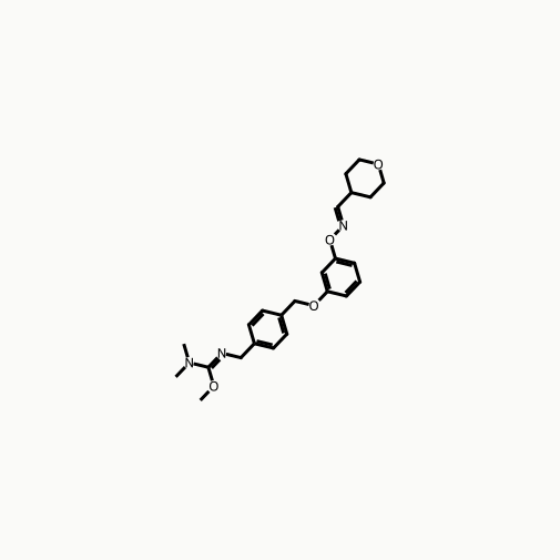 CO/C(=N\Cc1ccc(COc2cccc(ON=CC3CCOCC3)c2)cc1)N(C)C